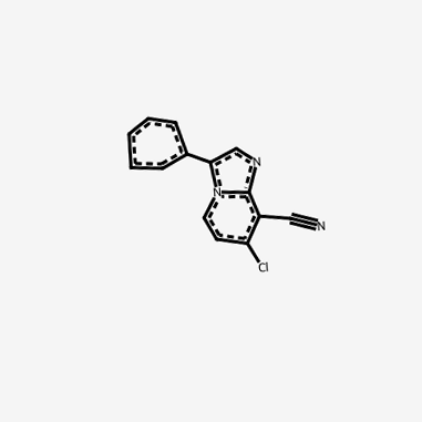 N#Cc1c(Cl)ccn2c(-c3ccccc3)cnc12